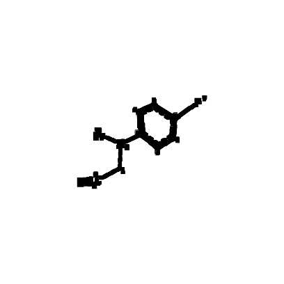 CCOC(=O)CN(c1ccc(F)cc1)C(C)C